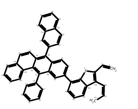 C=Cc1sc2c(-c3ccc4c(-c5ccc6ccccc6c5)c5ccc6ccccc6c5c(-c5ccccc5)c4c3)cccc2c1/C=C\C